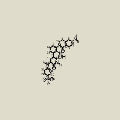 CN(C)c1ccc2c(c1)CCN(c1cccc(-c3cc(N(C)c4ccc(S(C)(=O)=O)cn4)c(=O)n(C)c3)c1CO)C2=O